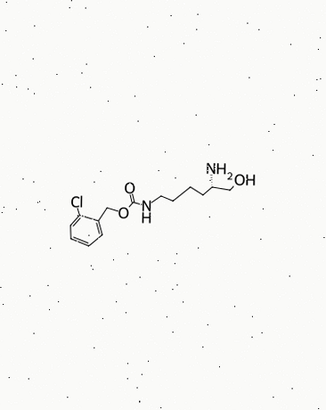 N[C@H](CO)CCCCNC(=O)OCc1ccccc1Cl